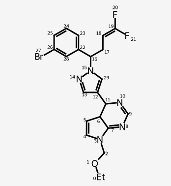 CCOCN1C=CC2C1=NC=NC2c1cnn(C(CC=C(F)F)c2cccc(Br)c2)c1